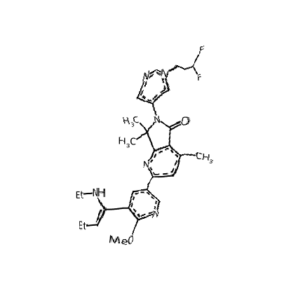 CC/C=C(\NCC)c1cc(-c2cc(C)c3c(n2)C(C)(C)N(c2cnn(CC(F)F)c2)C3=O)cnc1OC